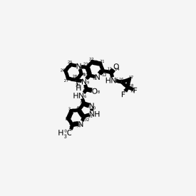 Cc1ccc2c(NC(=O)N3c4nc(C(=O)NC5CC5(F)F)ccc4N4CCC[C@H]3C4)n[nH]c2n1